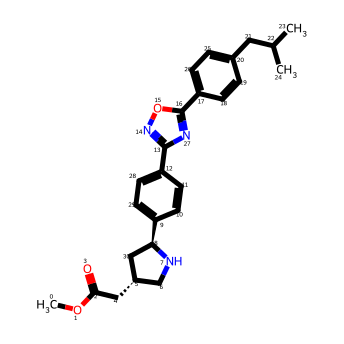 COC(=O)C[C@H]1CN[C@H](c2ccc(-c3noc(-c4ccc(CC(C)C)cc4)n3)cc2)C1